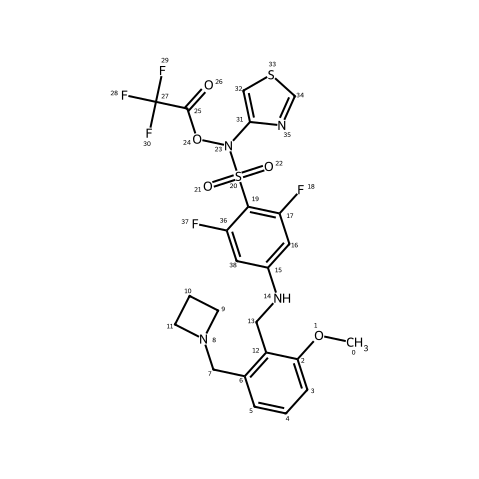 COc1cccc(CN2CCC2)c1CNc1cc(F)c(S(=O)(=O)N(OC(=O)C(F)(F)F)c2cscn2)c(F)c1